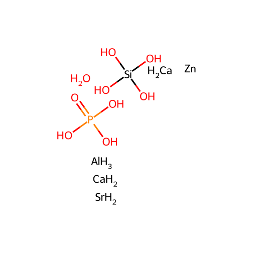 O.O=P(O)(O)O.O[Si](O)(O)O.[AlH3].[CaH2].[CaH2].[SrH2].[Zn]